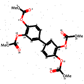 COC(=O)Oc1ccc(-c2ccc(OC(=O)OC)c(OC(=O)OC)c2)cc1OC(=O)OC